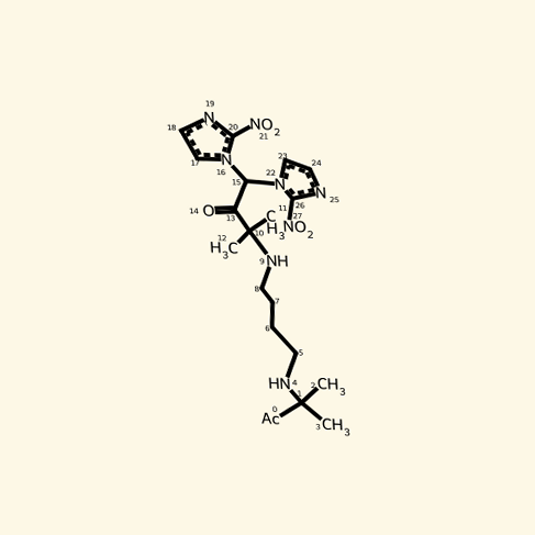 CC(=O)C(C)(C)NCCCCNC(C)(C)C(=O)C(n1ccnc1[N+](=O)[O-])n1ccnc1[N+](=O)[O-]